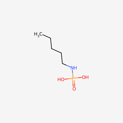 CCCCCNP(=O)(O)O